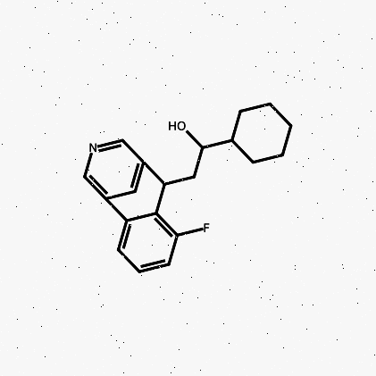 OC(CC1c2cncc(c2)-c2cccc(F)c21)C1CCCCC1